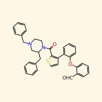 O=Cc1ccccc1Oc1ccccc1-c1ccsc1C(=O)N1CCN(Cc2ccccc2)CC1Cc1ccccc1